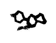 O=C(O)c1cc2ccccc2nc1N1CCNCC1